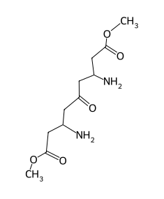 COC(=O)CC(N)CC(=O)CC(N)CC(=O)OC